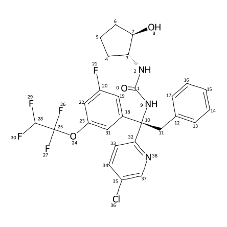 O=C(N[C@@H]1CCC[C@H]1O)N[C@@](Cc1ccccc1)(c1cc(F)cc(OC(F)(F)C(F)F)c1)c1ccc(Cl)cn1